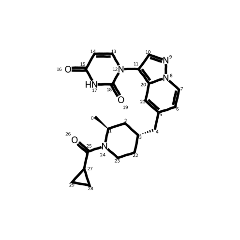 C[C@H]1C[C@H](Cc2ccn3ncc(-n4ccc(=O)[nH]c4=O)c3c2)CCN1C(=O)C1CC1